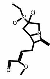 CC[S+]([O-])C1(Cl)CC2C(CC=C(C=O)OC)C(=O)N2C1